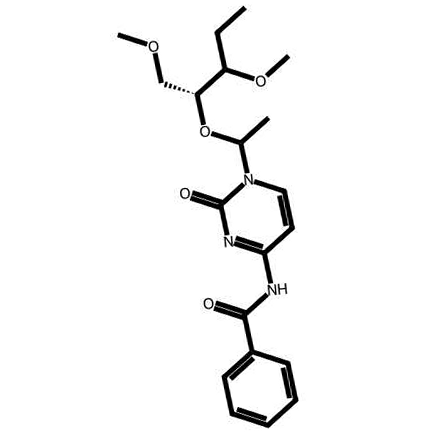 CCC(OC)[C@@H](COC)OC(C)n1ccc(NC(=O)c2ccccc2)nc1=O